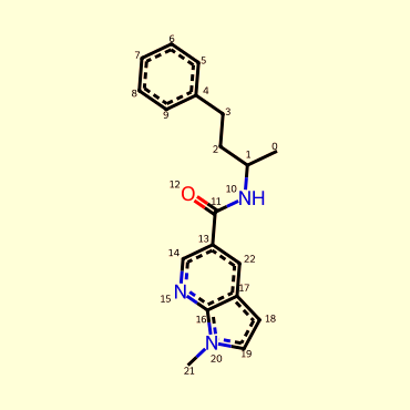 CC(CCc1ccccc1)NC(=O)c1cnc2c(ccn2C)c1